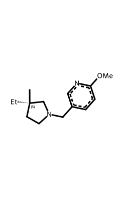 CC[C@@]1(C)CCN(Cc2ccc(OC)nc2)C1